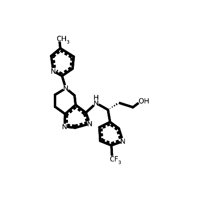 Cc1ccc(N2CCc3ncnc(N[C@H](CCO)c4ccc(C(F)(F)F)nc4)c3C2)nc1